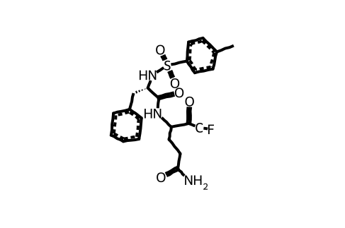 Cc1ccc(S(=O)(=O)N[C@@H](Cc2ccccc2)C(=O)NC(CCC(N)=O)C(=O)CF)cc1